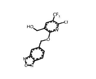 OCc1cc(C(F)(F)F)c(Cl)nc1OCc1ccc2nonc2c1